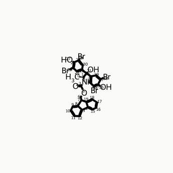 C[C@H](NC(=O)OCC1c2ccccc2-c2ccccc21)C(O)(c1cc(Br)c(O)c(Br)c1)c1cc(Br)c(O)c(Br)c1